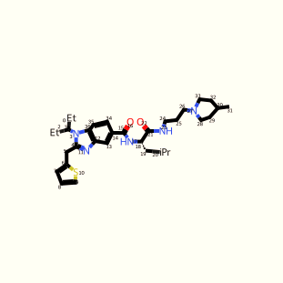 CCC(CC)n1c(Cc2cccs2)nc2cc(C(=O)N[C@@H](CC(C)C)C(=O)NCCCN3CCC(C)CC3)ccc21